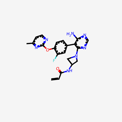 C=CC(=O)NC1CN(c2ncnc(N)c2-c2ccc(Oc3nccc(C)n3)c(F)c2)C1